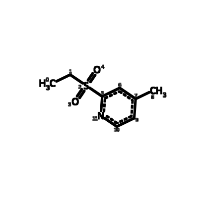 CCS(=O)(=O)c1cc(C)ccn1